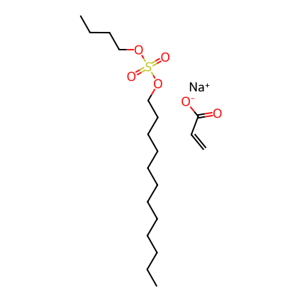 C=CC(=O)[O-].CCCCCCCCCCCCOS(=O)(=O)OCCCC.[Na+]